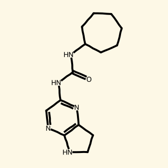 O=C(Nc1cnc2c(n1)CCN2)NC1CCCCCC1